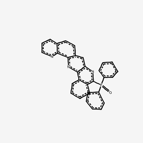 O=P(c1ccccc1)(c1ccccc1)c1nc2cc3ccc4cccnc4c3nc2c2ccccc12